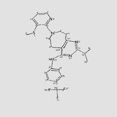 CSc1cccnc1N1CCc2nc(C(C)C)nc(Nc3ccc(C(F)(F)F)cc3)c2CC1